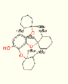 CCCCC1CCCCC1(CCCC)Oc1ccc(O)c(OC2(CCCC)CCCCC2CCCC)c1OC1(CCCC)CCCCC1CCCC